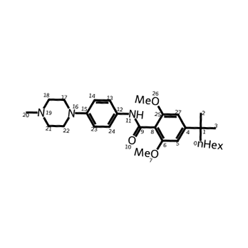 CCCCCCC(C)(C)c1cc(OC)c(C(=O)Nc2ccc(N3CCN(C)CC3)cc2)c(OC)c1